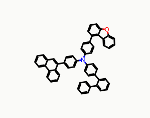 c1ccc(-c2ccccc2-c2ccc(N(c3ccc(-c4cc5ccccc5c5ccccc45)cc3)c3ccc(-c4cccc5oc6ccccc6c45)cc3)cc2)cc1